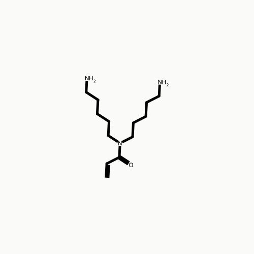 C=CC(=O)N(CCCCCN)CCCCCN